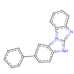 c1ccc(-c2ccc3[nH]c4nc5ccccc5n4c3c2)cc1